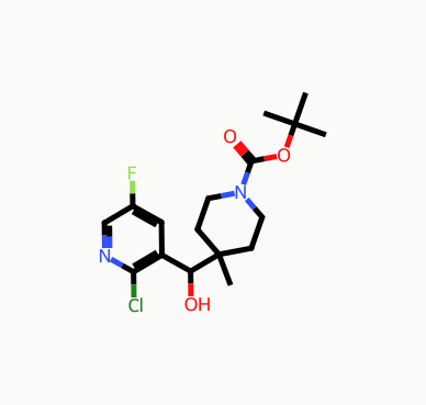 CC(C)(C)OC(=O)N1CCC(C)(C(O)c2cc(F)cnc2Cl)CC1